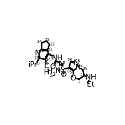 CCNC1COc2c(S(N)(=O)=NC(=O)Nc3c(C)c(C(C)C)nc4c3CCC4)cnn2C1